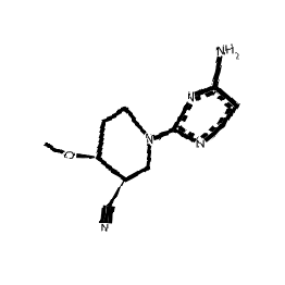 CO[C@H]1CCN(c2nccc(N)n2)C[C@H]1C#N